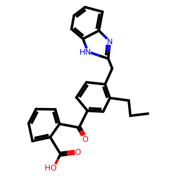 CCCc1cc(C(=O)c2ccccc2C(=O)O)ccc1Cc1nc2ccccc2[nH]1